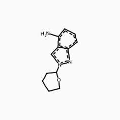 Nc1cccc2nn(C3CCCCO3)cc12